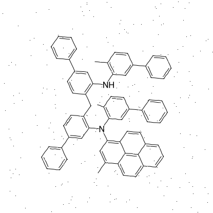 Cc1ccc(-c2ccccc2)cc1Nc1cc(-c2ccccc2)ccc1Cc1ccc(-c2ccccc2)cc1N(c1cc(-c2ccccc2)ccc1C)c1cc(C)c2ccc3cccc4ccc1c2c34